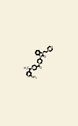 CC(c1ccnc(N)c1)N1CCC(C(=O)N2CCC(n3c(=O)n(CCN4CCOCC4)c4ccccc43)CC2)CC1